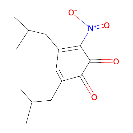 CC(C)CC1=CC(CC(C)C)=C([N+](=O)[O-])C(=O)C1=O